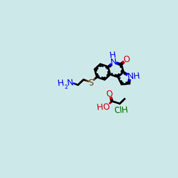 CCC(=O)O.Cl.NCCSc1ccc2[nH]c(=O)c3[nH]ccc3c2c1